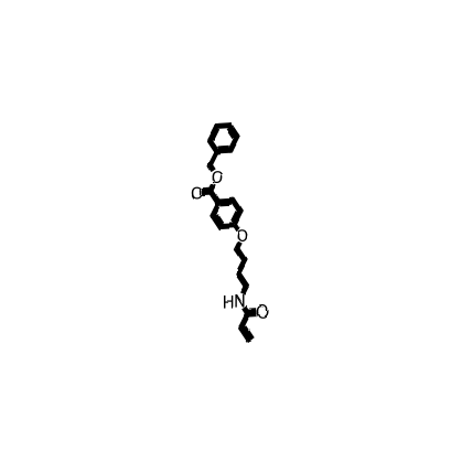 C=CC(=O)NCCCCOc1ccc(C(=O)OCc2ccccc2)cc1